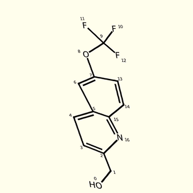 OCc1ccc2cc(OC(F)(F)F)ccc2n1